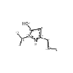 CSCc1cc(O)n(C(C)C)n1